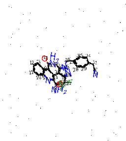 Cc1c(-c2c(C(N)=O)nc3ccccc3c2C(N)=O)c(C(F)(F)F)nn1Cc1ccc(CC#N)cc1